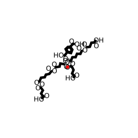 O=C(O)CCC(=O)OC(=O)CCCCC(=O)OC(=O)CCC(=O)O.O=C(O)CCC(=O)OC(=O)CCCCC(=O)OC(=O)CCC(=O)O.O=C(O)c1ccc(C(=O)O)cc1